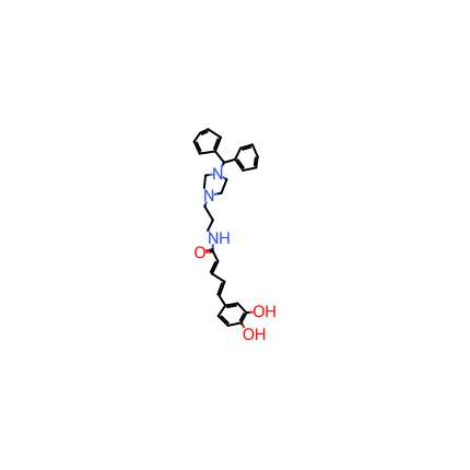 O=C(C=CC=Cc1ccc(O)c(O)c1)NCCCN1CCN(C(c2ccccc2)c2ccccc2)CC1